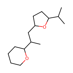 CC(C)C1CCC(CC(C)C2CCCCO2)O1